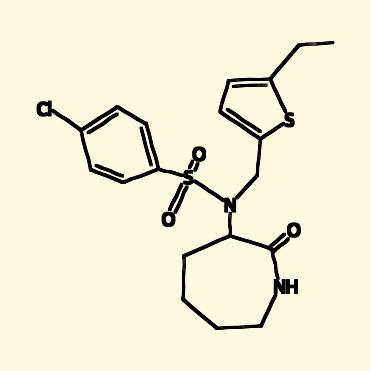 CCc1ccc(CN(C2CCCCNC2=O)S(=O)(=O)c2ccc(Cl)cc2)s1